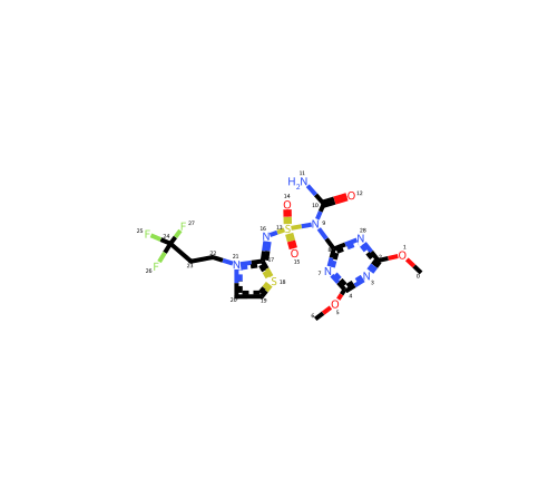 COc1nc(OC)nc(N(C(N)=O)S(=O)(=O)N=c2sccn2CCC(F)(F)F)n1